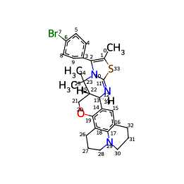 CC1=C(c2ccc(Br)cc2)N2C(=N[C@H]3c4cc5c6c(c4OC[C@@H]3C2(C)C)CCCN6CCC5)S1